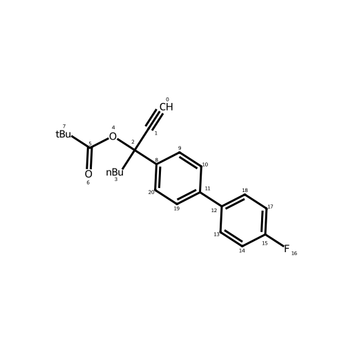 C#CC(CCCC)(OC(=O)C(C)(C)C)c1ccc(-c2ccc(F)cc2)cc1